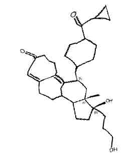 C[C@]12C[C@H](C3CCC(C(=O)C4CC4)CC3)C3=C4CCC(=O)C=C4CCC3C1CC[C@@]2(O)CCCO